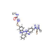 CCNC(=O)NSc1ccc2[nH]c(-c3ccccc3-c3nc4cc(NC(=S)NCC)ccc4[nH]3)nc2c1